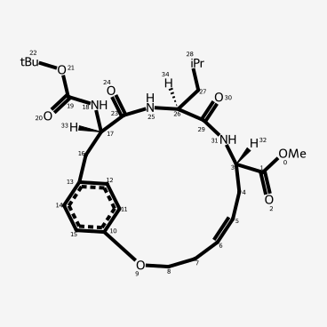 COC(=O)[C@@H]1CC=CCCOc2ccc(cc2)C[C@H](NC(=O)OC(C)(C)C)C(=O)N[C@@H](CC(C)C)C(=O)N1